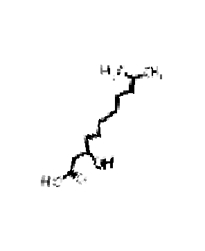 CC(C)CCCCCCC(O)CC(=O)O